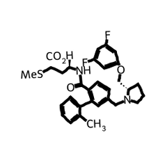 CSCC[C@H](NC(=O)c1ccc(CN2CCC[C@H]2COc2cc(F)cc(F)c2)cc1-c1ccccc1C)C(=O)O